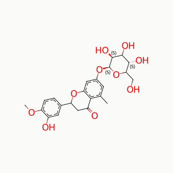 COc1ccc(C2CC(=O)c3c(C)cc(O[C@@H]4OC(CO)[C@@H](O)C(O)[C@@H]4O)cc3O2)cc1O